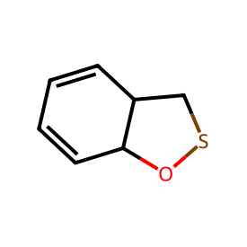 C1=CC2CSOC2C=C1